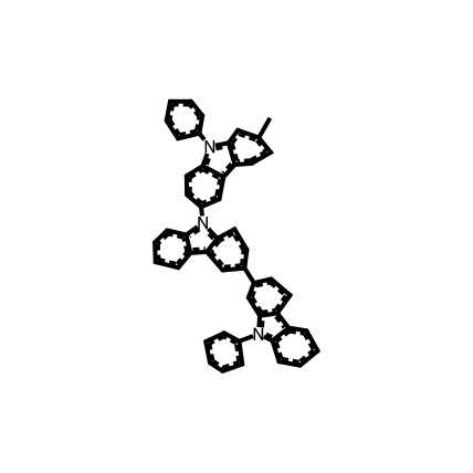 Cc1ccc2c3cc(-n4c5ccccc5c5cc(-c6ccc7c8ccccc8n(-c8ccccc8)c7c6)ccc54)ccc3n(-c3ccccc3)c2c1